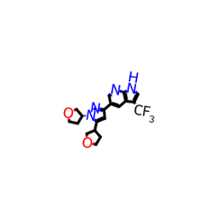 FC(F)(F)c1c[nH]c2ncc(-c3cc(C4CCOC4)n([C@@H]4CCOC4)n3)cc12